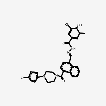 CC1C=C(C(=O)N/N=C/c2ccc(C(=O)N3CCN(c4ccc(Cl)cc4)CC3)c3ccccc23)C=C(Cl)C1O